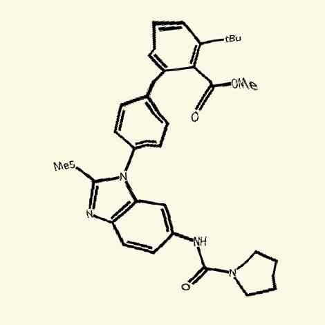 COC(=O)c1c(-c2ccc(-n3c(SC)nc4ccc(NC(=O)N5CCCC5)cc43)cc2)cccc1C(C)(C)C